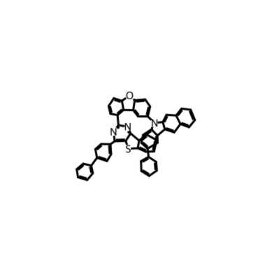 c1ccc(-c2ccc(-c3nc(-c4cccc5oc6ccc(-n7c8ccc(-c9ccccc9)cc8c8cc9ccccc9cc87)cc6c45)nc4c3sc3ccccc34)cc2)cc1